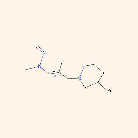 C=NN(C)/C=C(\C)CN1CCCC(C(C)C)C1